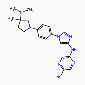 CN(C)C1(C)CCN(c2ccc(-n3cnc(Nc4cnc(C#N)cn4)c3)cc2)C1